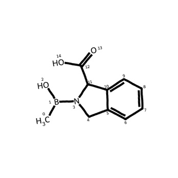 CB(O)N1Cc2ccccc2C1C(=O)O